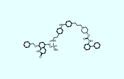 CC(C)(C)[Si](C)(C)O[C@@H](CNCCc1ccc(Nc2ccc(CCCN3CCC(OC(=O)Nc4ccccc4-c4ccccc4)CC3)cc2)cc1)c1ccc(OCc2ccccc2)c2[nH]c(=O)ccc12